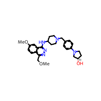 COCc1nnc(NC2CCN(Cc3ccc(N4CC[C@H](O)C4)cc3)CC2)c2cc(OC)ccc12